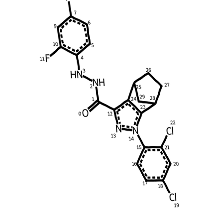 O=C(NNc1ccc(F)cc1F)c1nn(-c2ccc(Cl)cc2Cl)c2c1C1CCC2C1